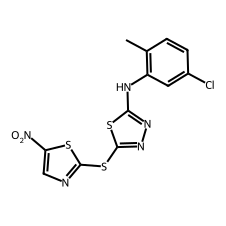 Cc1ccc(Cl)cc1Nc1nnc(Sc2ncc([N+](=O)[O-])s2)s1